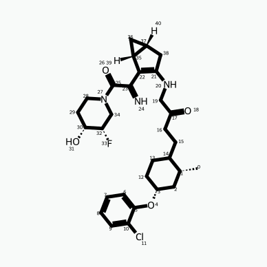 C[C@@H]1C[C@H](Oc2ccccc2Cl)CCC1CCC(=O)CNC1=C(C(=N)C(=O)N2CC[C@@H](O)[C@@H](F)C2)[C@@H]2C[C@@H]2C1